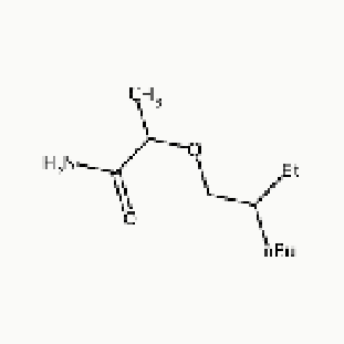 CCCCC(CC)COC(C)C(N)=O